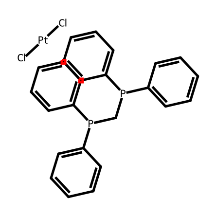 [Cl][Pt][Cl].c1ccc(P(CP(c2ccccc2)c2ccccc2)c2ccccc2)cc1